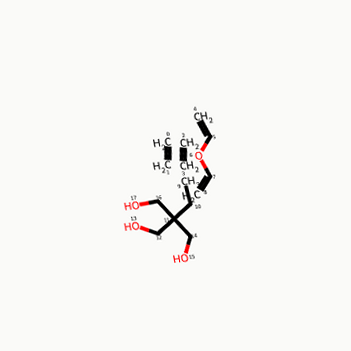 C=C.C=C.C=COC=C.CCC(CO)(CO)CO